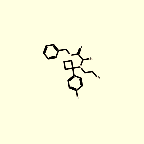 CCC(C(=O)OCc1ccccc1)N(CCC(C)C)C1(c2ccc(Cl)cc2)CCC1